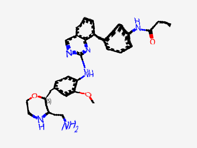 C=CC(=O)Nc1cccc(-c2cccc3cnc(Nc4ccc([C@@H]5OCCNC5CN)cc4OC)nc23)c1